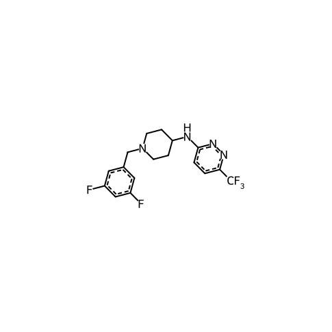 Fc1cc(F)cc(CN2CCC(Nc3ccc(C(F)(F)F)nn3)CC2)c1